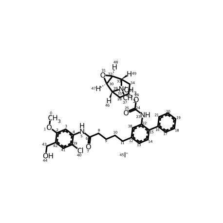 COc1cc(NC(=O)CCCCc2ccc(-c3ccccc3)c(NC(=O)O[C@@H]3C[C@@H]4[C@H]5O[C@H]5[C@H](C3)[N+]4(C)C)c2)c(Cl)cc1CO.[I-]